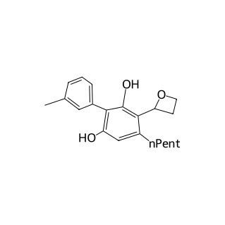 CCCCCc1cc(O)c(-c2cccc(C)c2)c(O)c1C1CCO1